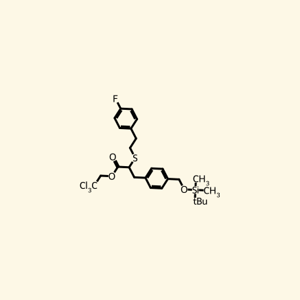 CC(C)(C)[Si](C)(C)OCc1ccc(CC(SCCc2ccc(F)cc2)C(=O)OCC(Cl)(Cl)Cl)cc1